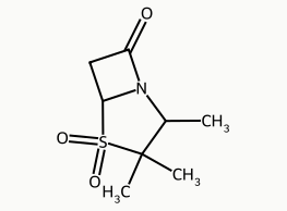 CC1N2C(=O)CC2S(=O)(=O)C1(C)C